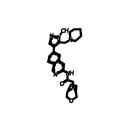 Cn1ncc(-c2ccc3cnc(NC(=O)CN4C5CCC4COC5)cc3c2)c1CN1CCCCC1